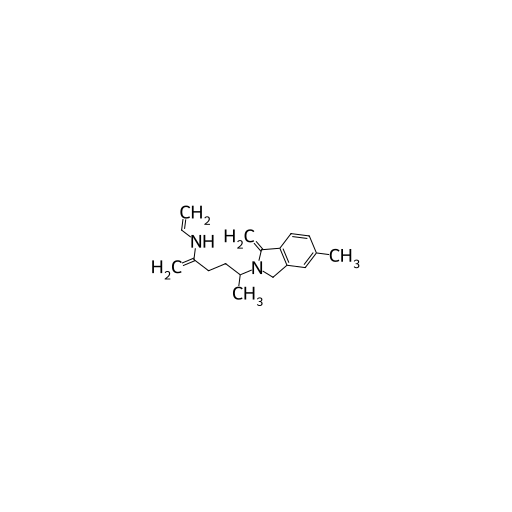 C=CNC(=C)CCC(C)N1Cc2cc(C)ccc2C1=C